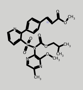 COC(=O)/C=C/c1ccc(-c2ncccc2S(=O)(=O)N(C(=O)OCC(C)C)c2ncc(C)nc2OC)cc1